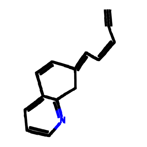 C#C/C=C\C=C1\C=Cc2cccnc2C1